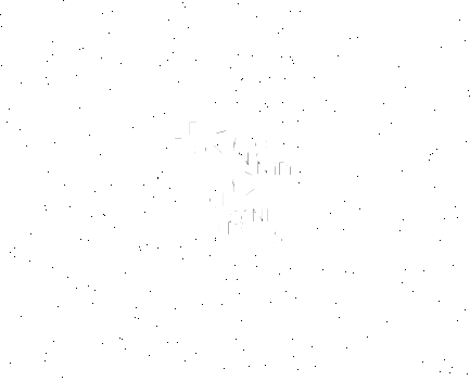 CC(C)n1c(=O)n(-c2cccc(OC(F)F)c2)c2cc(Cl)c(C(=O)NC3(C)CCSC3)cc21